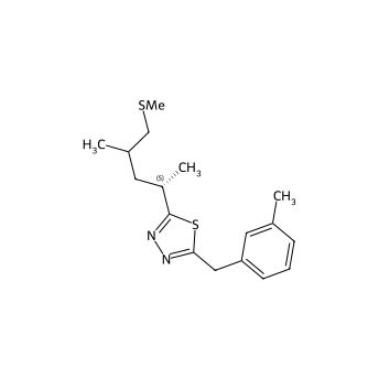 CSCC(C)C[C@H](C)c1nnc(Cc2cccc(C)c2)s1